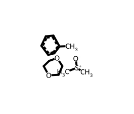 C1COCCO1.C[S+](C)[O-].Cc1ccccc1